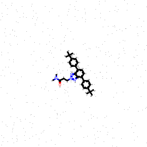 CN(C)C(=O)CCn1nc2c(-c3ccc(C(C)(C)C)cc3)ccc(-c3ccc(C(C)(C)C)cc3)c2n1